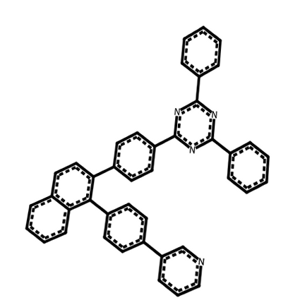 c1ccc(-c2nc(-c3ccccc3)nc(-c3ccc(-c4ccc5ccccc5c4-c4ccc(-c5cccnc5)cc4)cc3)n2)cc1